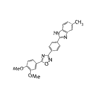 COc1ccc(-c2nc(-c3ccc(-c4nc5cc(C)ccc5[nH]4)cc3)no2)cc1OC